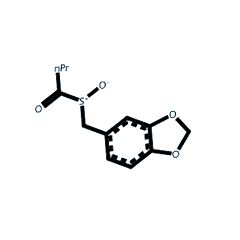 CCCC(=O)[S+]([O-])Cc1ccc2c(c1)OCO2